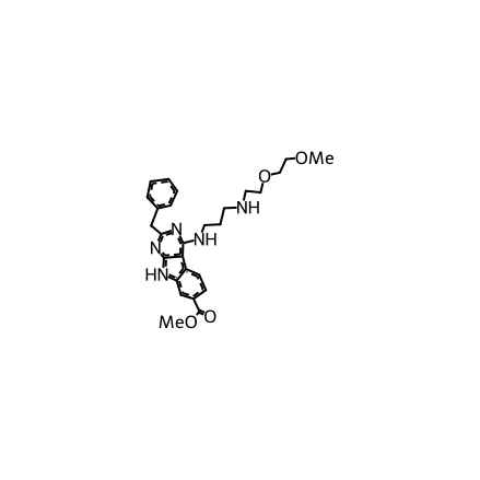 COCCOCCNCCCNc1nc(Cc2ccccc2)nc2[nH]c3cc(C(=O)OC)ccc3c12